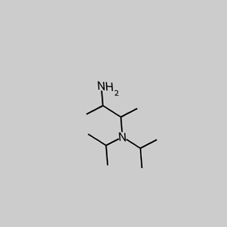 CC(N)C(C)N(C(C)C)C(C)C